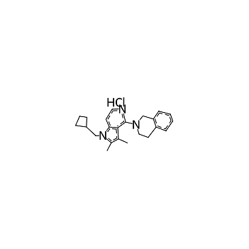 Cc1c(C)n(CC2CCC2)c2ccnc(N3CCc4ccccc4C3)c12.Cl